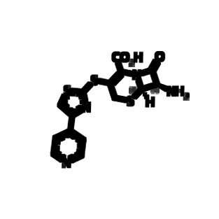 N[C@@H]1C(=O)N2C(C(=O)O)=C(Sc3nc(-c4ccncc4)cs3)CS[C@H]12